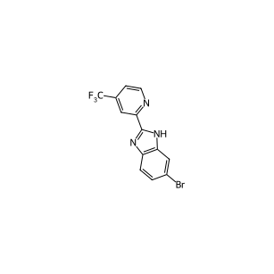 FC(F)(F)c1ccnc(-c2nc3ccc(Br)cc3[nH]2)c1